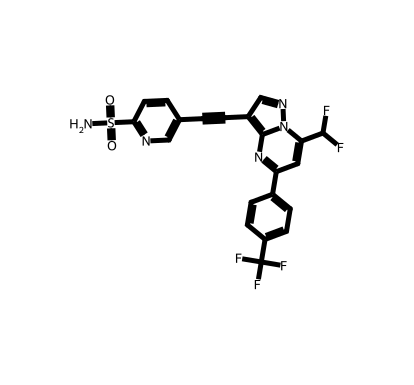 NS(=O)(=O)c1ccc(C#Cc2cnn3c(C(F)F)cc(-c4ccc(C(F)(F)F)cc4)nc23)cn1